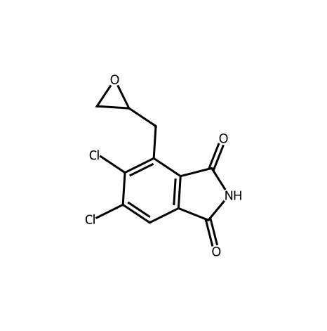 O=C1NC(=O)c2c1cc(Cl)c(Cl)c2CC1CO1